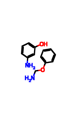 NCOc1ccccc1.Nc1cccc(O)c1